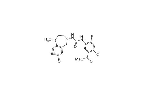 COC(=O)c1cc(NC(=O)N[C@H]2CC[C@@H](C)c3c[nH]c(=O)cc3C2)c(F)cc1Cl